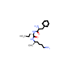 NCCCC[C@@H]([C]=O)NC(=O)[C@H](CCC(=O)O)NC(=O)[C@@H](N)Cc1ccccc1